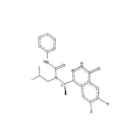 CC(C)CN(C(=O)Nc1ccccc1)[C@H](C)c1n[nH]c(=O)c2cc(F)c(F)cc12